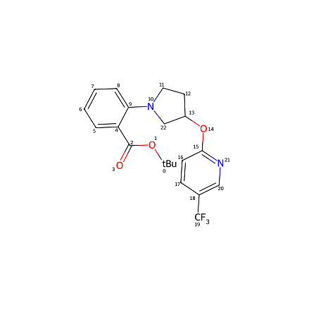 CC(C)(C)OC(=O)c1ccccc1N1CCC(Oc2ccc(C(F)(F)F)cn2)C1